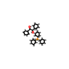 O=C(C(=O)c1ccccc1)c1ccccc1.c1ccc(P(c2ccccc2)c2ccccc2)cc1